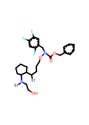 CCC(CCCON(Cc1cc(F)c(F)cc1F)C(=O)OCc1ccccc1)C1CCCCC1N(CC)CCO